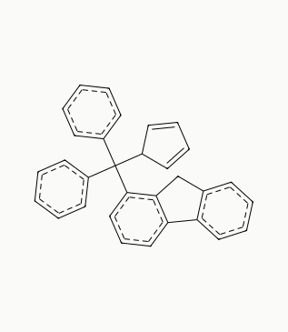 C1=CC(C(c2ccccc2)(c2ccccc2)c2cccc3c2Cc2ccccc2-3)C=C1